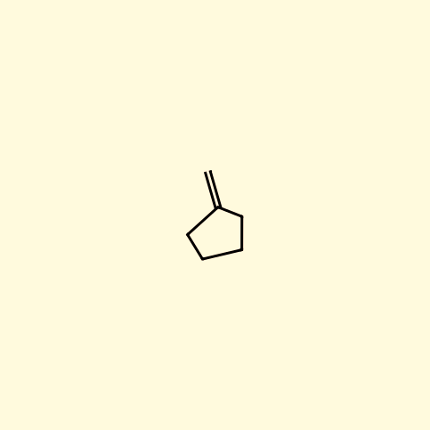 [CH]=C1CCCC1